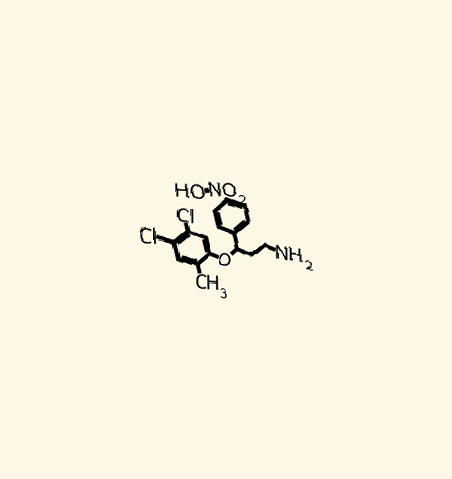 Cc1cc(Cl)c(Cl)cc1OC(CCN)c1ccccc1.O=[N+]([O-])O